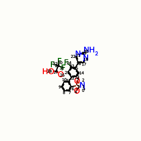 CN(C)S(=O)(=O)c1ccccc1-c1ccc(-c2cnc(N)nc2)c(F)c1.O=C(O)C(F)(F)F